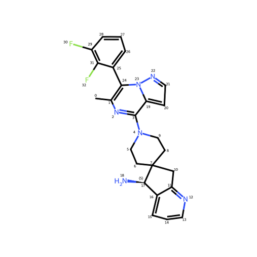 Cc1nc(N2CCC3(CC2)Cc2ncccc2[C@H]3N)c2ccnn2c1-c1cccc(F)c1F